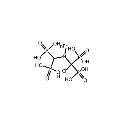 CCCN(C(P(=O)(O)O)P(=O)(O)O)C(Cl)(P(=O)(O)O)P(=O)(O)O